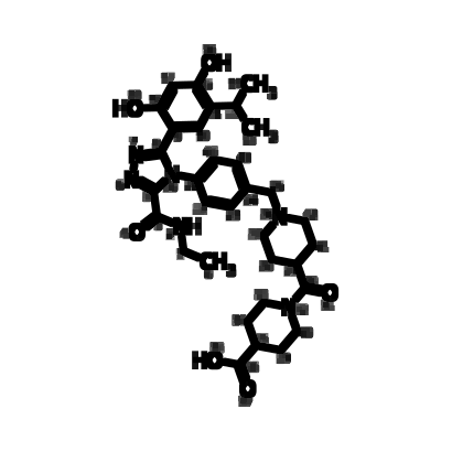 CCNC(=O)c1nnc(-c2cc(C(C)C)c(O)cc2O)n1-c1ccc(CN2CCC(C(=O)N3CCC(C(=O)O)CC3)CC2)cc1